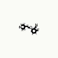 N#Cc1c(F)cccc1OCCc1ccncc1